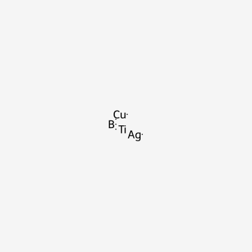 [Ag].[B].[Cu].[Ti]